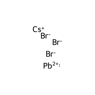 [Br-].[Br-].[Br-].[Cs+].[Pb+2]